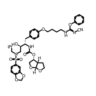 CC(C)CN(C[C@@H](O)[C@H](Cc1ccc(OCCCCN/C(=N/C#N)Oc2ccccc2)cc1)NC(=O)O[C@H]1CO[C@H]2OCC[C@H]21)S(=O)(=O)c1ccc2c(c1)OCO2